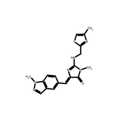 Cc1csc(CNC2=N/C(=C\c3ccc4c(cnn4C)c3)C(=O)N2C)n1